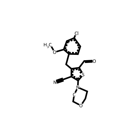 COc1cc(Cl)ccc1Cc1c(C=O)sc(N2CCOCC2)c1C#N